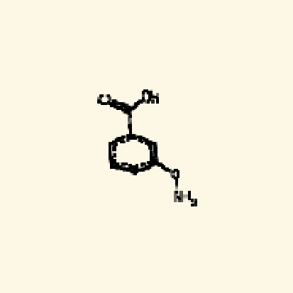 NOc1cccc(C(=O)O)c1